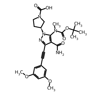 COc1cc(C#Cc2nn([C@H]3CCN(C(=O)O)C3)c(N(C)C(=O)OC(C)(C)C)c2C(N)=O)cc(OC)c1